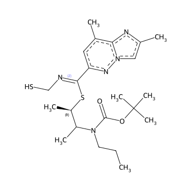 CCCN(C(=O)OC(C)(C)C)C(C)[C@@H](C)S/C(=N\CS)c1cc(C)c2nc(C)cn2n1